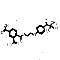 CC(C)(O)C(=O)c1ccc(OCCOC(=O)c2ccc(C(=O)O)cc2C(=O)O)cc1